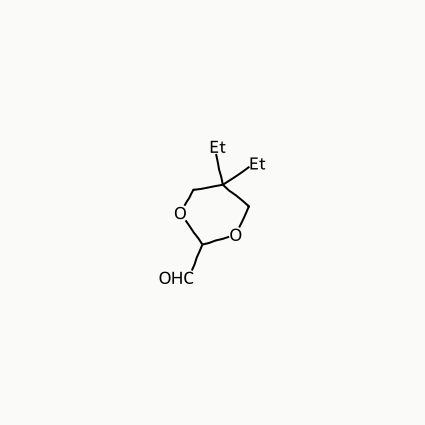 CCC1(CC)COC(C=O)OC1